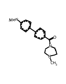 CNc1ccc(-c2ccc(C(=O)N3CCN(C)CC3)cc2)cc1